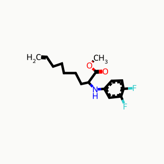 C=CCCCCCC(Nc1ccc(F)c(F)c1)C(=O)OC